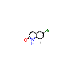 Cc1cc(Br)cc2ccc(=O)[nH]c12